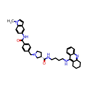 Cn1ccc2cc(NC(=O)c3ccc(CN4CC[C@H](C(=O)NCCCCNc5c6c(nc7ccccc57)CCCC6)C4)cc3)ccc21